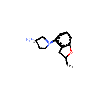 CC1Cc2c(cccc2N2CC[C@H](N)C2)O1